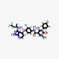 CC(CC(F)F)Nc1n[nH]c2nccc(Oc3ccc(NC(=O)c4cn(C(C)C)c(=O)n(-c5ccc(F)cc5)c4=O)cc3F)c12